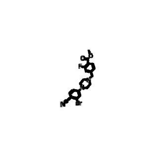 COC(=O)c1ccc(CN2CCN(c3ccc(C#N)c(Br)c3)CC2)cc1F